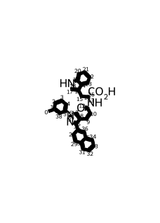 Cc1cccc(-n2cc(/C=C\C(=O)N[C@@H](Cc3c[nH]c4ccccc34)C(=O)O)c(-c3ccc4ccccc4c3)n2)c1